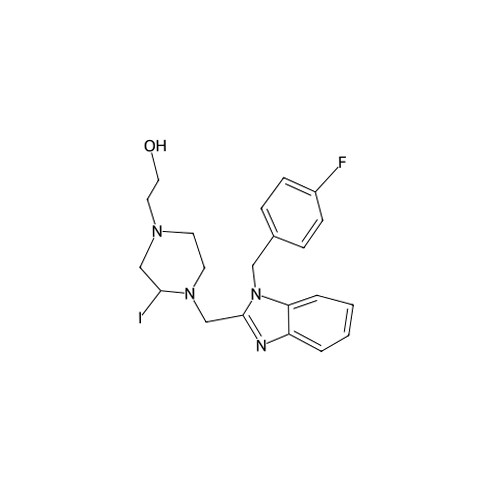 OCCN1CCN(Cc2nc3ccccc3n2Cc2ccc(F)cc2)C(I)C1